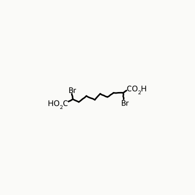 O=C(O)C(Br)CCCCCCC(Br)C(=O)O